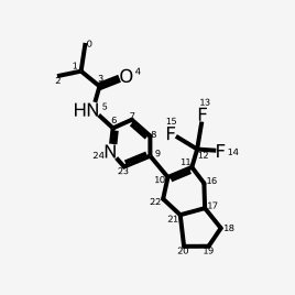 CC(C)C(=O)Nc1ccc(C2=C(C(F)(F)F)CC3CCCC3C2)cn1